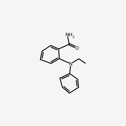 CCN(c1ccccc1)c1ccccc1C(N)=O